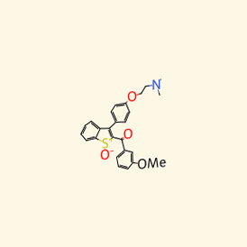 COc1cccc(C(=O)c2c(-c3ccc(OCCN(C)C)cc3)c3ccccc3[s+]2[O-])c1